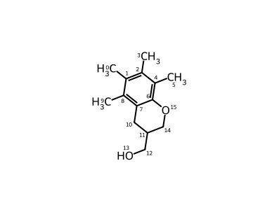 Cc1c(C)c(C)c2c(c1C)CC(CO)CO2